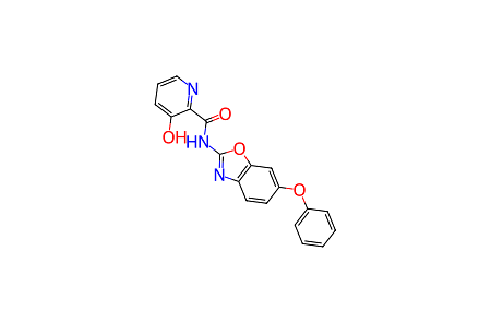 O=C(Nc1nc2ccc(Oc3ccccc3)cc2o1)c1ncccc1O